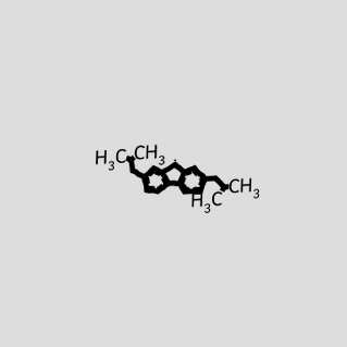 CC(C)Cc1ccc2c(c1)[CH]c1cc(CC(C)C)ccc1-2